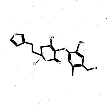 Cc1cc(SC2=C(O)C[C@@](CCc3ccsc3)(C(C)C)OC2=O)c(C(C)(C)C)cc1CO